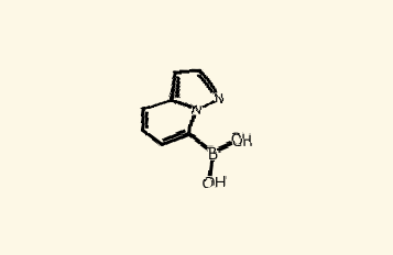 OB(O)c1cccc2ccnn12